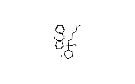 COCCCC[C@@](O)(c1cccc(F)c1Oc1ccccc1)C1CCCNC1